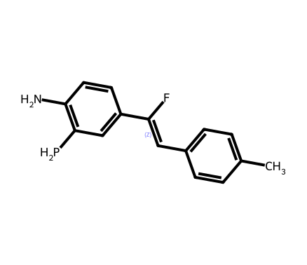 Cc1ccc(/C=C(\F)c2ccc(N)c(P)c2)cc1